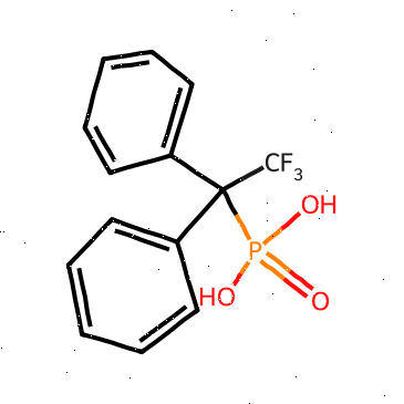 O=P(O)(O)C(c1ccccc1)(c1ccccc1)C(F)(F)F